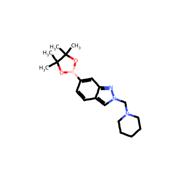 CC1(C)OB(c2ccc3cn(CN4CCCCC4)nc3c2)OC1(C)C